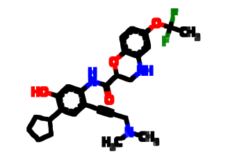 CN(C)CC#Cc1cc(C2CCCC2)c(O)cc1NC(=O)C1CNc2cc(OC(C)(F)F)ccc2O1